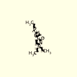 CCCOC[C@H]1O[C@@H](n2ccc(N(CCC)CCC)nc2=O)CS1